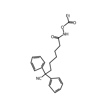 CCC(=O)ONC(=O)CCCCCC(C#N)(c1ccccc1)c1ccccc1